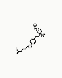 C=NC(CC)(CCc1ccc(OCCCCC(=C)I)cc1)COP=O